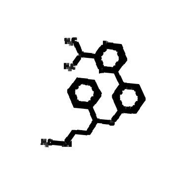 CNCCC(Oc1cccc(-c2ccnc(N(C)C)n2)c1)c1ccccc1